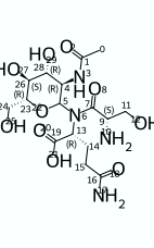 CC(=O)N[C@H]1C(N(C(=O)[C@@H](N)CO)[C@H](CCC(N)=O)C(=O)O)O[C@H](CO)[C@@H](O)[C@@H]1O